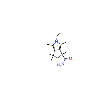 CCn1c(C)c2c(c1C)C(C)(C(N)=O)CC2(C)C